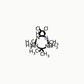 CCC1(CC)CNC(C)(C)/C=N\c2cc(Cl)c(Cl)cc2NCC(C)(C)NC1